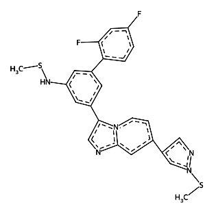 CSNc1cc(-c2ccc(F)cc2F)cc(-c2cnc3cc(-c4cnn(SC)c4)ccn23)c1